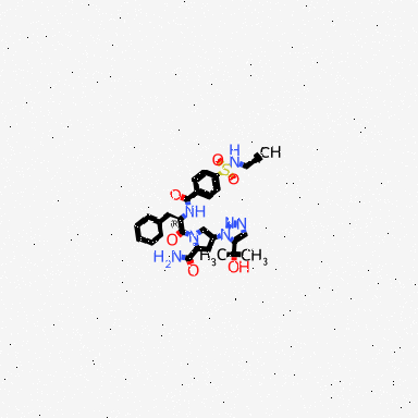 C#CCNS(=O)(=O)c1ccc(C(=O)N[C@H](CC2CCCCC2)C(=O)N2CC(n3nncc3C(C)(C)O)CC2C(N)=O)cc1